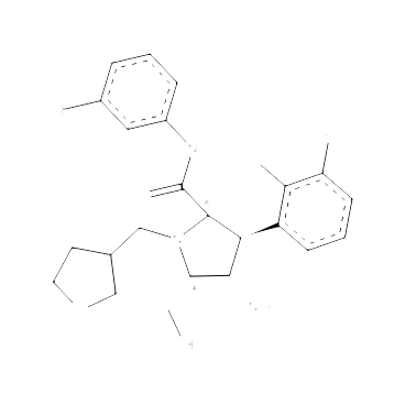 C[C@]1(C(=O)Nc2cccc(Cl)c2)[C@@H](c2cccc(Cl)c2F)[C@H]([N+](=O)[O-])[C@H](CO)N1CC1CCOC1